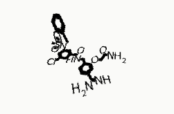 CS(=O)(=O)N(Cc1ccccc1)c1cc(Cl)cc(C(=O)NCc2ccc(C(=N)N)cc2OCC(N)=O)c1